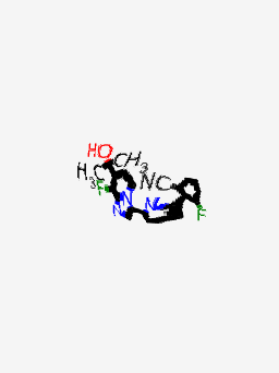 CC(C)(O)c1ccn2c(-c3cccc(-c4c(F)cccc4C#N)n3)cnc2c1F